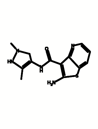 CC1=C(NC(=O)c2c(N)sc3cccnc23)CN(C)N1